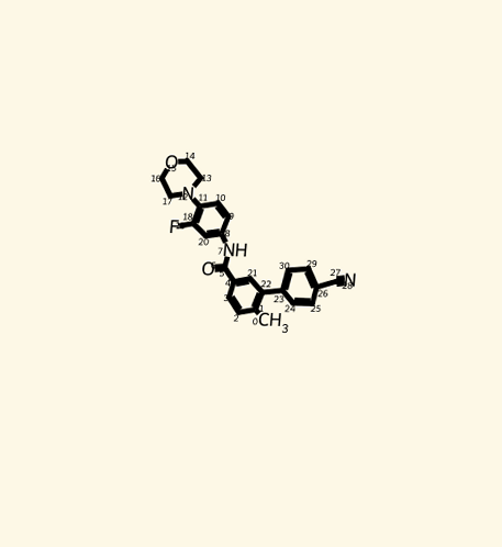 Cc1ccc(C(=O)Nc2ccc(N3CCOCC3)c(F)c2)cc1-c1ccc(C#N)cc1